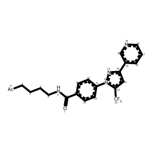 CC(=O)CCCCNC(=O)c1ccc(-n2nc(-c3cccnc3)cc2C(F)(F)F)cc1